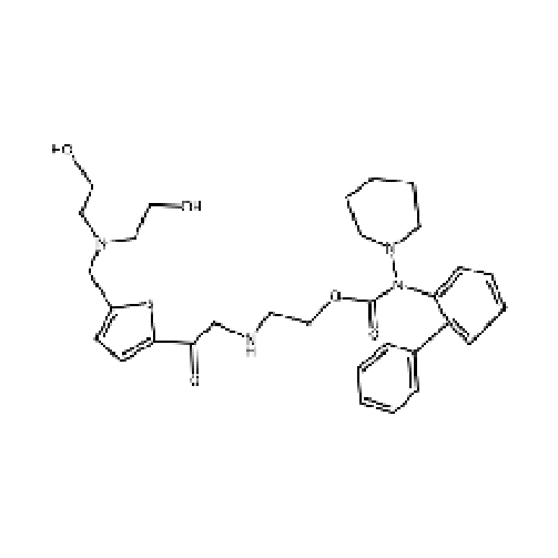 O=C(CNCCOC(=O)N(c1ccccc1-c1ccccc1)N1CC[CH]CC1)c1ccc(CN(CCO)CCO)s1